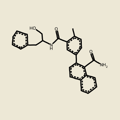 Cc1ccc(-c2ccc3ccccc3c2C(N)=O)cc1C(=O)NC(CO)Cc1ccccc1